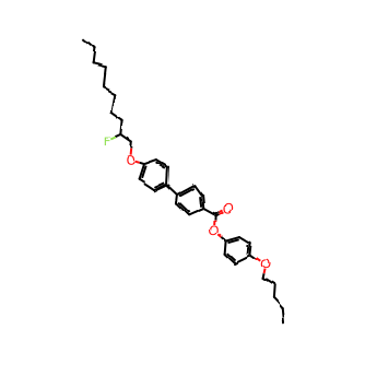 CCCCCCCCC(F)COc1ccc(-c2ccc(C(=O)Oc3ccc(OCCCCC)cc3)cc2)cc1